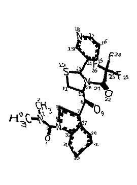 CN(C)C(=O)n1cc(C(=O)C2CSC(c3cccnc3)N2C(=O)C(F)(F)F)c2ccccc21